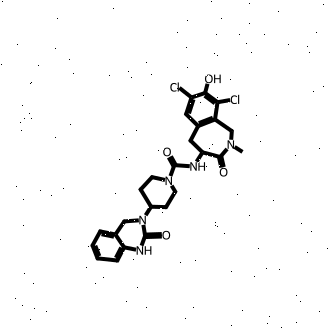 CN1Cc2c(cc(Cl)c(O)c2Cl)CC(NC(=O)N2CCC(N3Cc4ccccc4NC3=O)CC2)C1=O